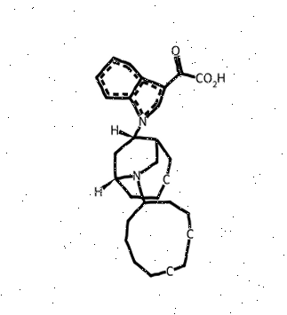 O=C(O)C(=O)c1cn([C@H]2C[C@H]3CCCCC2CN3C2CCCCCCCCC2)c2ccccc12